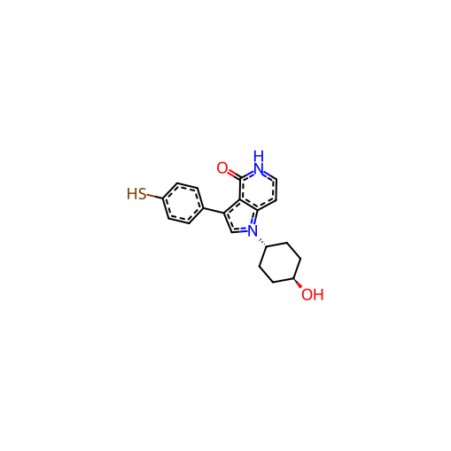 O=c1[nH]ccc2c1c(-c1ccc(S)cc1)cn2[C@H]1CC[C@H](O)CC1